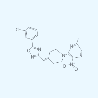 Cc1ccc([N+](=O)[O-])c(N2CCC(=Cc3noc(-c4cccc(Cl)c4)n3)CC2)n1